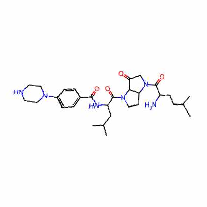 CC(C)CCC(N)C(=O)N1CC(=O)C2C1CCN2C(=O)C(CC(C)C)NC(=O)c1ccc(N2CCNCC2)cc1